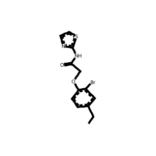 CCc1ccc(OCC(=O)Nc2nccs2)c(Br)c1